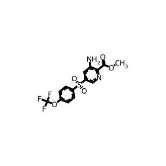 COC(=O)c1ncc(S(=O)(=O)c2ccc(OC(F)(F)F)cc2)cc1N